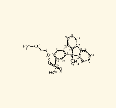 COCCOc1ccc(C2(C)c3ccccc3-c3ccccc32)cc1S(=O)(=O)O